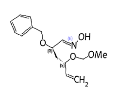 C=C[C@H](C[C@H](/C=N/O)OCc1ccccc1)OCOC